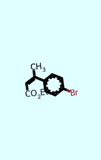 CCOC(=O)/C=C(/C)c1ccc(Br)cc1